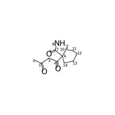 CC(=O)CC(=O)C1(C(N)=O)CCCCC1